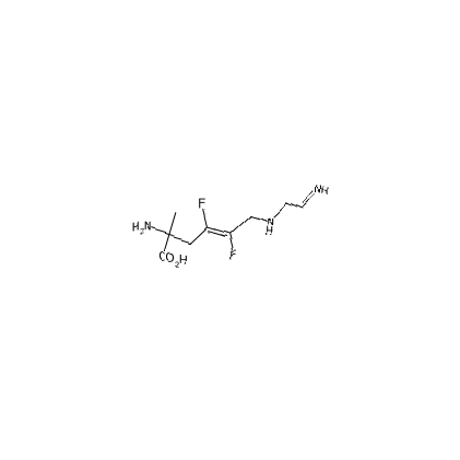 CC(N)(CC(F)=C(F)CNCC=N)C(=O)O